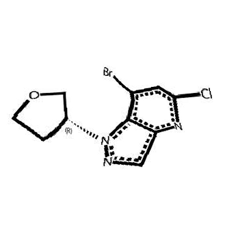 Clc1cc(Br)c2c(cnn2[C@@H]2CCOC2)n1